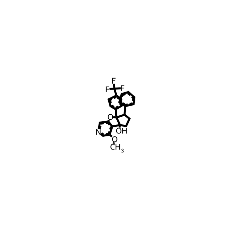 COc1cncc2c1C1(O)CCC(c3ccccc3)C1(c1ccc(C(F)(F)F)cc1)O2